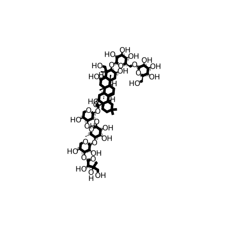 C[C@@H]1O[C@@H](O[C@H]2[C@H](OC(=O)[C@]34CCC(C)(C)C[C@H]3C3=CC[C@@H]5[C@@]6(C)C[C@H](O)[C@H](O[C@@H]7O[C@H](CO[C@@H]8O[C@H](CO)[C@@H](O)[C@H](O)[C@H]8O)[C@@H](O)[C@H](O)[C@H]7O)[C@@](C)(CO)[C@@H]6[C@H](O)C[C@@]5(C)[C@]3(C)C[C@H]4O)OC[C@H](O)[C@@H]2O)[C@H](O)[C@H](O)[C@H]1O[C@@H]1OC[C@@H](O)[C@H](O[C@@H]2OC[C@](O)(CO)[C@H]2O)[C@H]1O